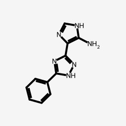 Nc1[nH]cnc1-c1n[nH]c(-c2ccccc2)n1